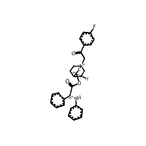 O=C(C[N+]12CCC(CC1)[C@@H](OC(=O)[C@H](Nc1ccccc1)c1ccccc1)C2)c1ccc(F)cc1